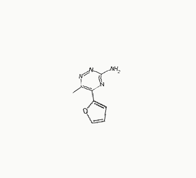 Cc1nnc(N)nc1-c1ccco1